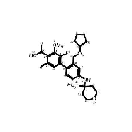 COc1c(F)c(-c2ccc(NC3(C(=O)O)CCOCC3)cc2COC2CCCC2)cc(C)c1C(C)O